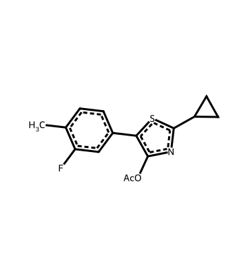 CC(=O)Oc1nc(C2CC2)sc1-c1ccc(C)c(F)c1